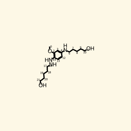 COc1cc(NCCCCCO)ccc1NNCCCCCO